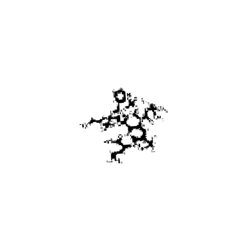 C=CCC[C@@](OCc1ccccc1)(c1nnc(-c2nc(NC(CC=C)C(=O)O)c(C(F)(F)F)cc2N(C(=O)OC(C)(C)C)C(=O)OC(C)(C)C)o1)C(F)(F)F